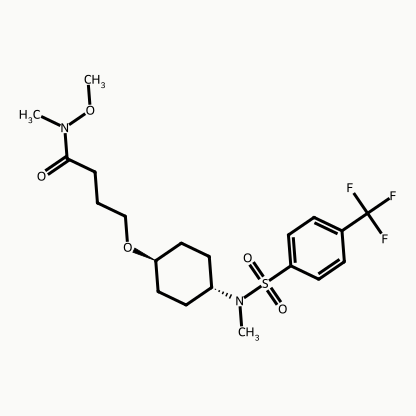 CON(C)C(=O)CCCO[C@H]1CC[C@H](N(C)S(=O)(=O)c2ccc(C(F)(F)F)cc2)CC1